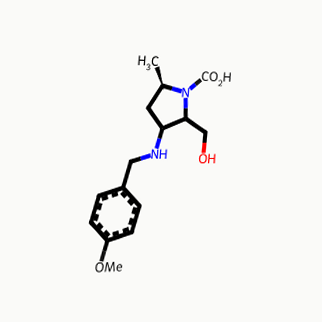 COc1ccc(CNC2C[C@@H](C)N(C(=O)O)C2CO)cc1